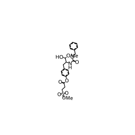 COC(O)C(Cc1ccc(OC(=O)CCS(=O)(=O)OC)cc1)NC(=O)OCc1ccccc1